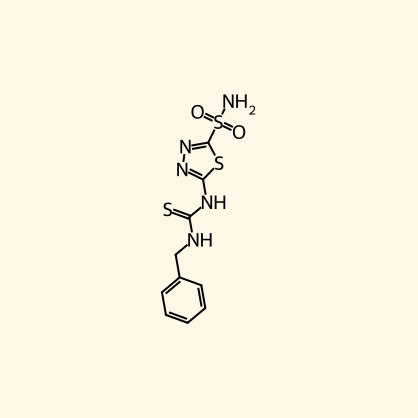 NS(=O)(=O)c1nnc(NC(=S)NCc2ccccc2)s1